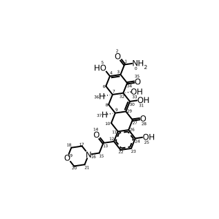 NC(=O)C1=C(O)C[C@@H]2C[C@@H]3Cc4c(C(=O)CN5CCOCC5)ccc(O)c4C(=O)C3=C(O)[C@]2(O)C1=O